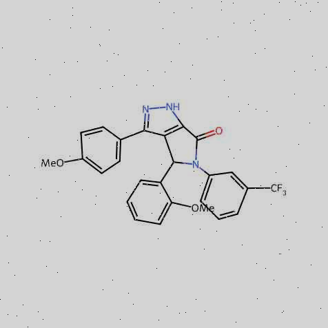 COc1ccc(-c2n[nH]c3c2C(c2ccccc2OC)N(c2cccc(C(F)(F)F)c2)C3=O)cc1